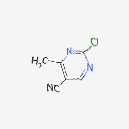 Cc1nc(Cl)ncc1C#N